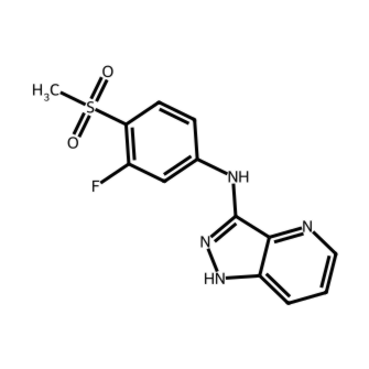 CS(=O)(=O)c1ccc(Nc2n[nH]c3cccnc23)cc1F